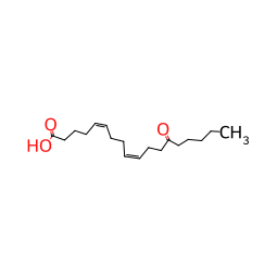 CCCCCC(=O)CC/C=C\CC/C=C\CCCC(=O)O